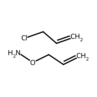 C=CCCl.C=CCON